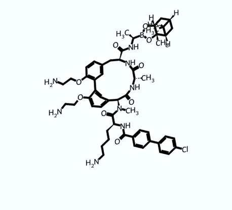 C[C@H](NC(=O)[C@@H]1Cc2ccc(OCCN)c(c2)-c2cc(ccc2OCCN)[C@H](N(C)C(=O)[C@H](CCCCN)NC(=O)c2ccc(-c3ccc(Cl)cc3)cc2)C(=O)N[C@@H](C)C(=O)N1)B1O[C@@H]2C[C@@H]3C[C@@H](C3(C)C)[C@]2(C)O1